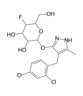 Cc1[nH]nc(OC2OC(CO)C(F)C(O)C2O)c1Cc1ccc(Cl)cc1Cl